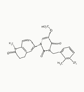 Cc1c(Cn2c(=O)c(OC(=O)O)cn(-c3ccc4c(c3)CCC(=O)N4C)c2=O)cccc1C(F)(F)F